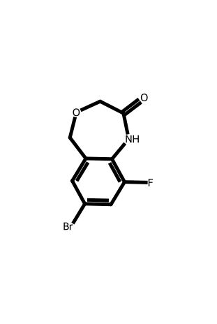 O=C1COCc2cc(Br)cc(F)c2N1